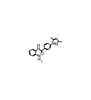 Cc1cc(C)n(-c2ccc(C(=O)Nc3ccccc3N)cc2)n1